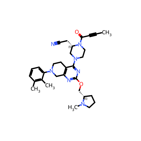 CC#CC(=O)N1CCN(c2nc(OC[C@@H]3CCCN3C)nc3c2CCN(c2cccc(C)c2C)C3)C[C@@H]1CC#N